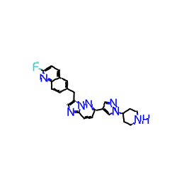 Fc1ccc2cc(Cc3cnc4ccc(-c5cnn(C6CCNCC6)c5)nn34)ccc2n1